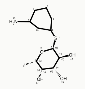 C[C@@H]1O[C@@H](SC2CCCC(N)C2)[C@@H](O)[C@H](O)[C@@H]1O